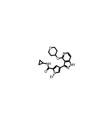 CCn1cc(-c2n[nH]c3ccnc(OC4CCOCC4)c23)cc1C(=O)NC1CC1